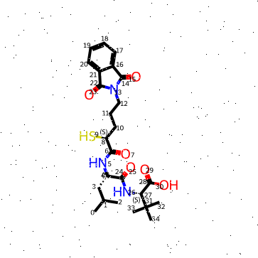 CC(C)C[C@H](NC(=O)[C@@H](S)CCCN1C(=O)c2ccccc2C1=O)C(=O)N[C@H](C(=O)O)C(C)(C)C